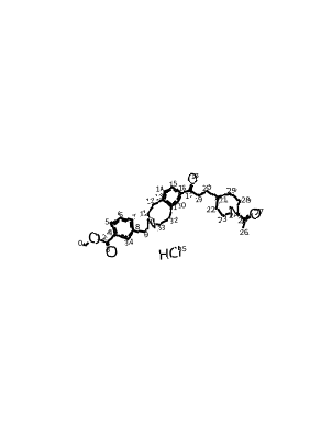 COC(=O)c1cccc(CN2CCc3ccc(C(=O)CCC4CCN(C(C)=O)CC4)cc3CC2)c1.Cl